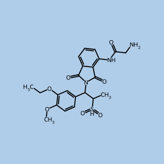 CCOc1cc(C(C(C)[SH](=O)=O)N2C(=O)c3cccc(NC(=O)CN)c3C2=O)ccc1OC